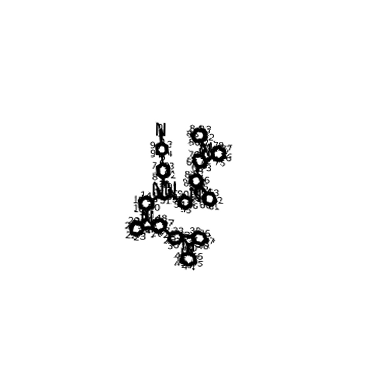 N#Cc1ccc(-c2ccc(-c3nc(-c4cccc(-n5c6ccccc6c6cc(-c7ccc8c(c7)c7ccccc7n8-c7ccccc7)ccc65)c4)cc(-c4cccc(-n5c6ccccc6c6cc(-c7ccc8c(c7)c7ccccc7n8-c7ccccc7)ccc65)c4)n3)cc2)cc1